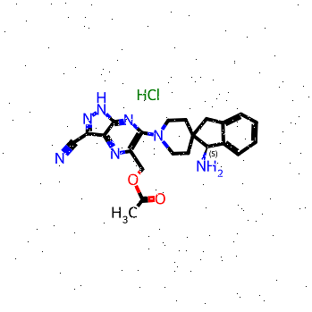 CC(=O)OCc1nc2c(C#N)n[nH]c2nc1N1CCC2(CC1)Cc1ccccc1[C@H]2N.Cl